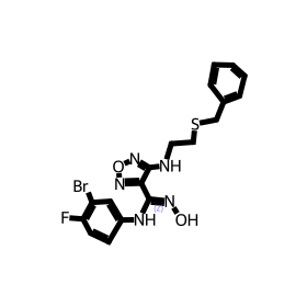 O/N=C(\Nc1ccc(F)c(Br)c1)c1nonc1NCCSCc1ccccc1